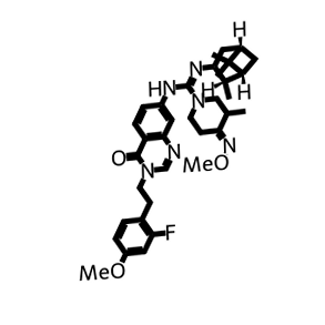 CO/N=C1\CCN(/C(=N\C2C[C@@H]3C[C@H]([C@@H]2C)C3(C)C)Nc2ccc3c(=O)n(CCc4ccc(OC)cc4F)cnc3c2)CC1C